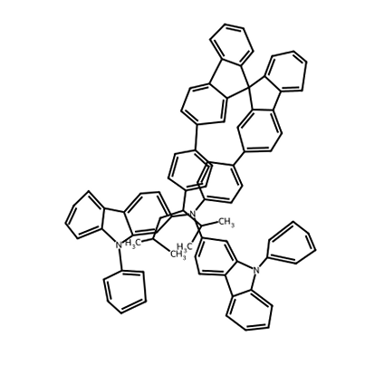 CC(C)CC(c1ccc(-c2ccc3c(c2)C2(c4ccccc4-3)c3ccccc3-c3ccc(-c4ccc(N(c5ccc6c7ccccc7n(-c7ccccc7)c6c5)c5ccc6c7ccccc7n(-c7ccccc7)c6c5)cc4)cc32)cc1)C(C)C